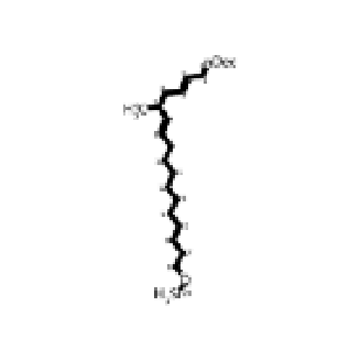 CCCCCCCCCCCC=CCC(C)C=CCCCCCCCCCCO[SiH3]